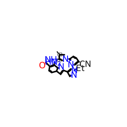 CCn1cc(C2=CC3C=CC(C(N)=O)=C(N[C@@H]4CN(c5ccc(C#N)cn5)C[C@@H]4C)C3=N2)cn1